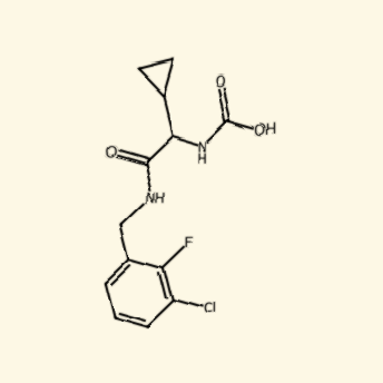 O=C(O)NC(C(=O)NCc1cccc(Cl)c1F)C1CC1